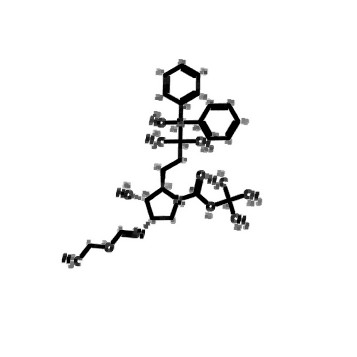 CCOC=N[C@H]1CN(C(=O)OC(C)(C)C)[C@H](CCC(C)(C)[Si](O)(c2ccccc2)c2ccccc2)[C@H]1O